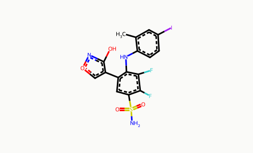 Cc1cc(I)ccc1Nc1c(-c2conc2O)cc(S(N)(=O)=O)c(F)c1F